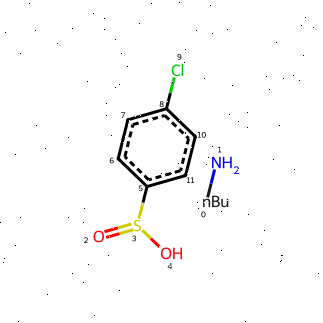 CCCCN.O=S(O)c1ccc(Cl)cc1